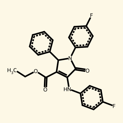 CCOC(=O)C1=C(Nc2ccc(F)cc2)C(=O)N(c2ccc(F)cc2)C1c1ccccc1